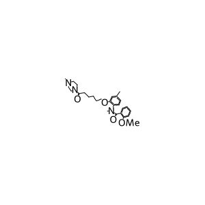 COc1ccccc1C(=O)N(C)c1ccc(C)cc1OCCCCCC(=O)N1CCN(C)CC1